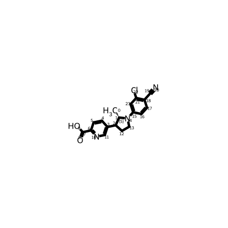 C[C@H]1C(c2ccc(C(=O)O)nc2)CCN1c1ccc(C#N)c(Cl)c1